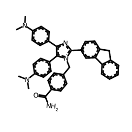 CN(C)c1ccc(-c2nc(-c3ccc4c(c3)-c3ccccc3C4)n(Cc3ccc(C(N)=O)cc3)c2-c2ccc(N(C)C)cc2)cc1